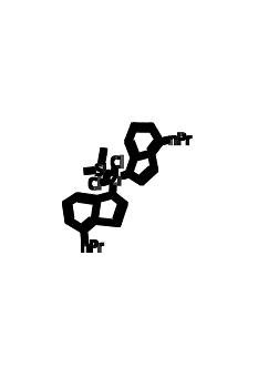 CCCc1cccc2c1C=C[CH]2[Zr]([Cl])([Cl])([CH]1C=Cc2c(CCC)cccc21)=[Si](C)C